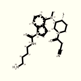 C[C@@H]1CCN(C(=O)CC#N)C[C@@H]1N(C)c1ncnc2c1ccn2C(=S)NCCCCN